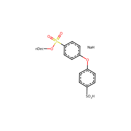 CCCCCCCCCCOS(=O)(=O)c1ccc(Oc2ccc(S(=O)(=O)O)cc2)cc1.[NaH]